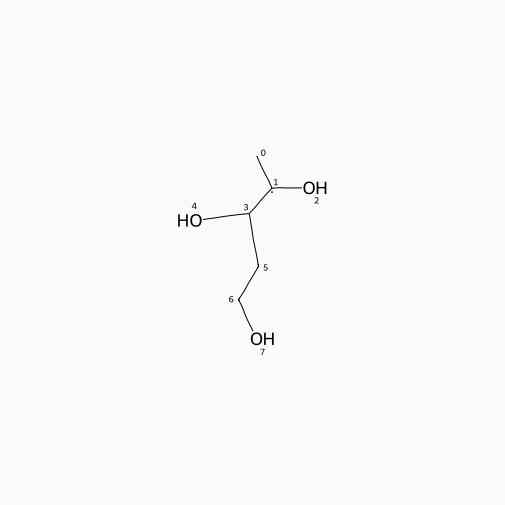 C[C](O)C(O)CCO